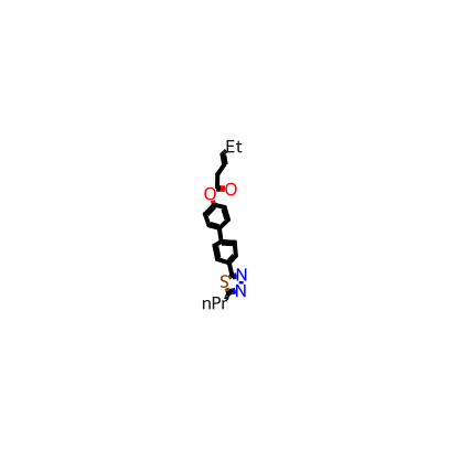 CCC=CCC(=O)Oc1ccc(-c2ccc(-c3nnc(CCC)s3)cc2)cc1